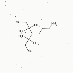 CC(C)(C)CC(C)(C)C(CCCN)C(C)(C)CC(C)(C)C